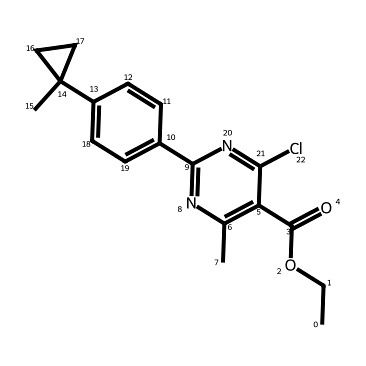 CCOC(=O)c1c(C)nc(-c2ccc(C3(C)CC3)cc2)nc1Cl